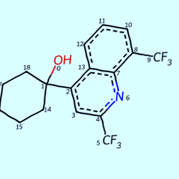 OC1(c2cc(C(F)(F)F)nc3c(C(F)(F)F)cccc23)CCCCC1